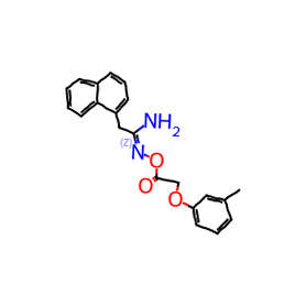 Cc1cccc(OCC(=O)O/N=C(\N)Cc2cccc3ccccc23)c1